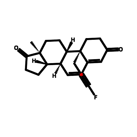 C[C@]12CC[C@H]3[C@@H](C=CC4=CC(=O)CC[C@@]43CC#CF)[C@@H]1CCC2=O